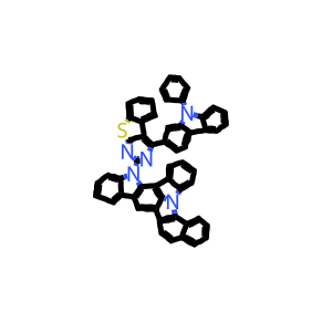 c1ccc(-n2c3ccccc3c3ccc(-c4nc(-n5c6ccccc6c6cc7c8ccc9ccccc9c8n8c9ccccc9c(c65)c78)nc5sc6ccccc6c45)cc32)cc1